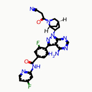 N#CCC(=O)N1C[C@@H]2C[C@@H]1[C@H](n1nc(-c3ccc(C(=O)Nc4cc(F)ccn4)cc3F)c3c(N)ncnc31)C2